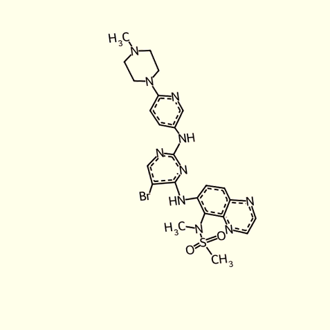 CN1CCN(c2ccc(Nc3ncc(Br)c(Nc4ccc5nccnc5c4N(C)S(C)(=O)=O)n3)cn2)CC1